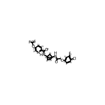 O=C(COc1ccc(Cl)c(F)c1)NC12CCC(NC(=O)c3ccc(OC(F)F)cn3)(C1)C2